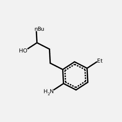 CCCCC(O)CCc1cc(CC)ccc1N